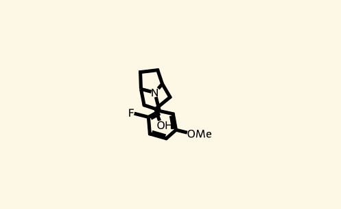 COc1ccc(F)c(N2C3CCC2CC(O)C3)c1